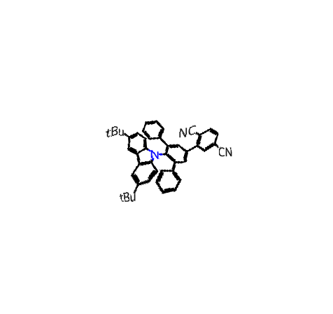 CC(C)(C)c1ccc2c(c1)c1cc(C(C)(C)C)ccc1n2-c1c(-c2ccccc2)cc(-c2cc(C#N)ccc2C#N)cc1-c1ccccc1